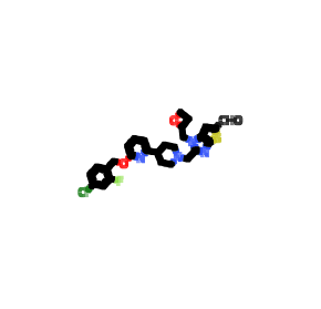 O=Cc1cc2c(nc(CN3CCC(c4cccc(OCc5ccc(Cl)cc5F)n4)CC3)n2CC2CCO2)s1